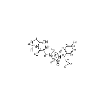 N#C[C@@H]1CC2C[C@@H]2N1C(=O)[C@@H](N)CN1C[C@@H]2C[C@H]1C(=O)N2[C@H](c1ccc(F)cc1)C1CC1